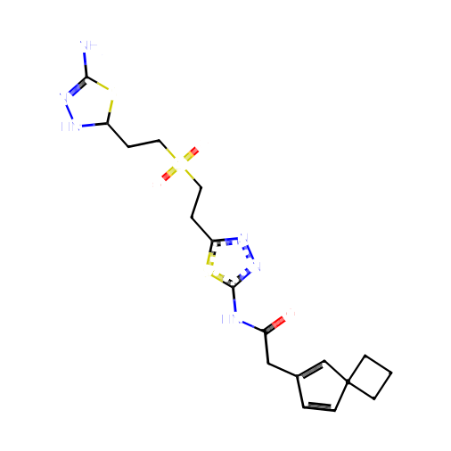 NC1=NNC(CCS(=O)(=O)CCc2nnc(NC(=O)CC3=CC4(C=C3)CCC4)s2)S1